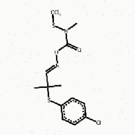 CN(SC(Cl)(Cl)Cl)C(=O)ON=CC(C)(C)Sc1ccc(Cl)cc1